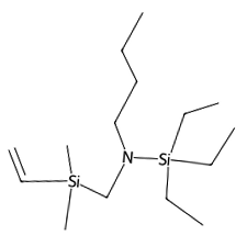 C=C[Si](C)(C)CN(CCCC)[Si](CC)(CC)CC